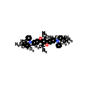 Cc1ccccc1N(c1ccc2cc3c(cc2c1)oc1c(C(C)C)c2c(oc4cc5cc(N(c6ccccc6C)c6cc(C(C)(C)C)ccc6C)ccc5cc42)c(C(C)C)c13)c1cc(C(C)(C)C)ccc1C